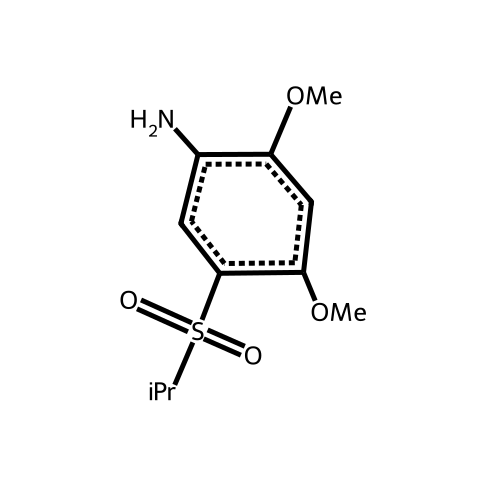 COc1cc(OC)c(S(=O)(=O)C(C)C)cc1N